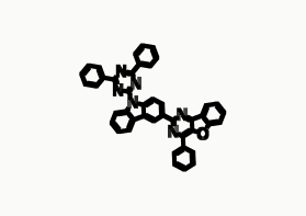 c1ccc(-c2nc(-c3ccccc3)nc(-n3c4ccccc4c4cc(-c5nc(-c6ccccc6)c6oc7ccccc7c6n5)ccc43)n2)cc1